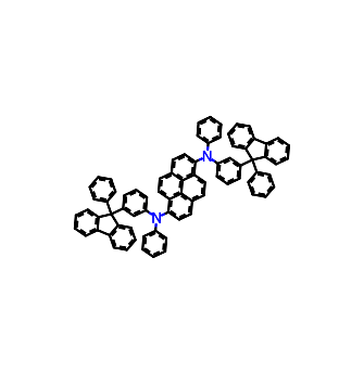 c1ccc(N(c2cccc(C3(c4ccccc4)c4ccccc4-c4ccccc43)c2)c2ccc3ccc4c(N(c5ccccc5)c5cccc(C6(c7ccccc7)c7ccccc7-c7ccccc76)c5)ccc5ccc2c3c54)cc1